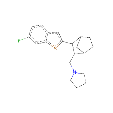 Fc1ccc2cc(C3C4CCC(C4)C3CN3CCCC3)sc2c1